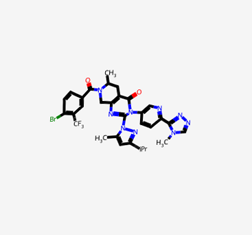 Cc1cc(C(C)C)nn1-c1nc2c(c(=O)n1-c1ccc(-c3nncn3C)nc1)CC(C)N(C(=O)c1ccc(Br)c(C(F)(F)F)c1)C2